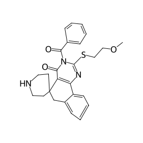 COCCSc1nc2c(c(=O)n1C(=O)c1ccccc1)C1(CCNCC1)Cc1ccccc1-2